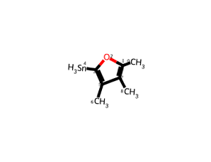 Cc1o[c]([SnH3])c(C)c1C